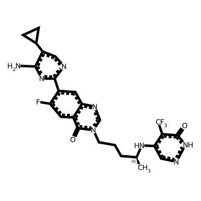 C[C@@H](CCCn1cnc2cc(-c3ncc(C4CC4)c(N)n3)c(F)cc2c1=O)Nc1cn[nH]c(=O)c1C(F)(F)F